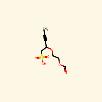 CC#CC(CS(=O)(=O)O)OCCOC=O